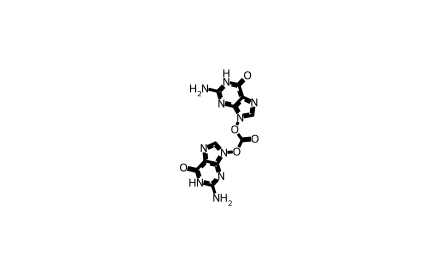 Nc1nc2c(ncn2OC(=O)On2cnc3c(=O)[nH]c(N)nc32)c(=O)[nH]1